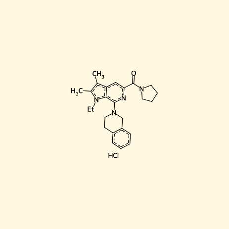 CCn1c(C)c(C)c2cc(C(=O)N3CCCC3)nc(N3CCc4ccccc4C3)c21.Cl